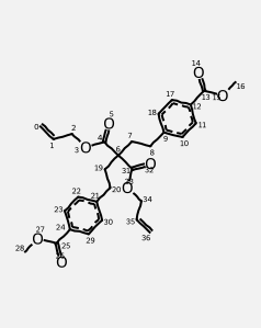 C=CCOC(=O)C(CCc1ccc(C(=O)OC)cc1)(CCc1ccc(C(=O)OC)cc1)C(=O)OCC=C